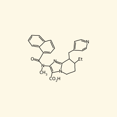 CCC1CCn2c(nc(N(C)C(=O)c3cccc4ccccc34)c2C(=O)O)C1Cc1ccncc1